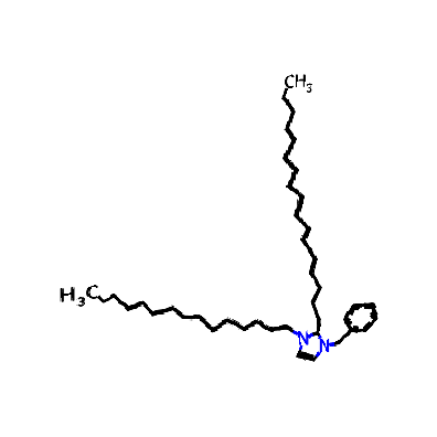 CCCCCCCCCCCCCCCCCC1N(CCCCCCCCCCCCCCC)C=CN1Cc1ccccc1